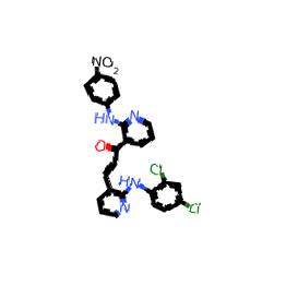 O=C(C=Cc1cccnc1Nc1ccc(Cl)cc1Cl)c1cccnc1Nc1ccc([N+](=O)[O-])cc1